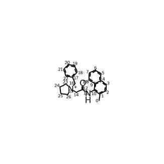 Cc1ccc2ccccc2c1NC(=O)C[N+]1(Cc2ccccc2)CCCC1